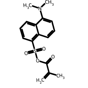 C=C(C)C(=O)OS(=O)(=O)c1cccc2c(N(C)C)cccc12